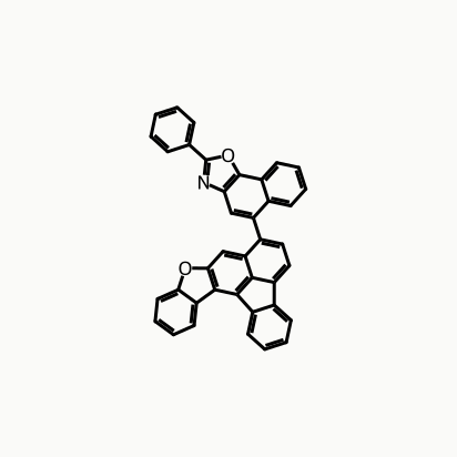 c1ccc(-c2nc3cc(-c4ccc5c6c(c7c(cc46)oc4ccccc47)-c4ccccc4-5)c4ccccc4c3o2)cc1